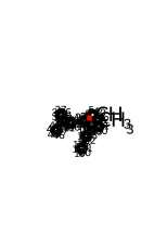 CC1(C)c2ccccc2-c2c(N(c3ccc(-c4ccccc4)cc3)c3cccc(-c4ccc5c(c4)c4ccccc4n5-c4ccccc4)c3)cccc21